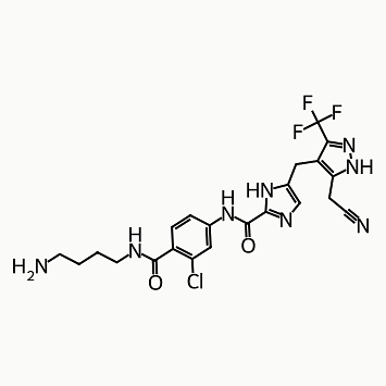 N#CCc1[nH]nc(C(F)(F)F)c1Cc1cnc(C(=O)Nc2ccc(C(=O)NCCCCN)c(Cl)c2)[nH]1